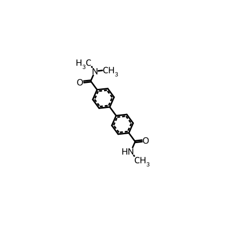 CNC(=O)c1ccc(-c2ccc(C(=O)N(C)C)cc2)cc1